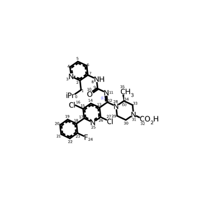 CC(C)Cc1ncccc1NC(=O)/N=C(\c1cc(Cl)c(-c2ccccc2F)nc1Cl)N1CCN(C(=O)O)C[C@@H]1C